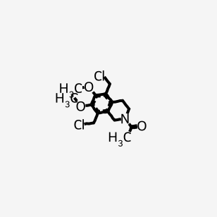 COc1c(CCl)c2c(c(CCl)c1OC)CN(C(C)=O)CC2